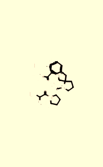 CCC(N)C(=O)N1CCC[C@H]1C(=O)N1CCCC1(Cc1ccccc1)C(=O)NC(C(N)=O)[C@@H](C)O